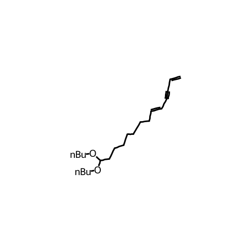 C=CC#C/C=C/CCCCCCCC(OCCCC)OCCCC